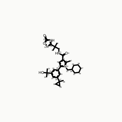 Cc1c(C(=O)NCC(C)(C)c2noc(=O)[nH]2)cc(-c2cc(C(C)(C)O)cc(C3(C)CC3)c2)n1CC1CCCCC1